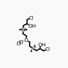 C[N+](C)(CCOCC[N+](C)(C)CC(O)CCl)CC(O)CCl.[Cl-].[Cl-]